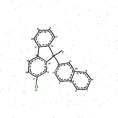 CC1(c2ccc3ccccc3c2)c2ccccc2-c2ccc(Cl)cc21